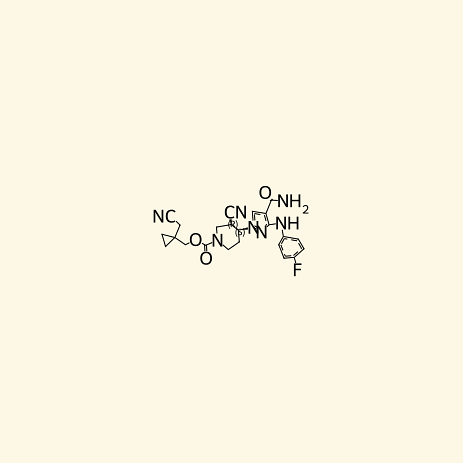 N#CCC1(COC(=O)N2CC[C@H](n3cc(C(N)=O)c(Nc4ccc(F)cc4)n3)[C@H](C#N)C2)CC1